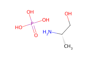 C[C@H](N)CO.O=P(O)(O)O